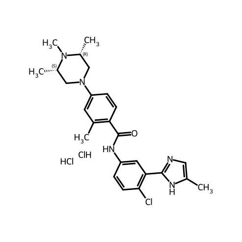 Cc1cnc(-c2cc(NC(=O)c3ccc(N4C[C@@H](C)N(C)[C@@H](C)C4)cc3C)ccc2Cl)[nH]1.Cl.Cl